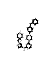 FC1(Cn2cc(Nc3ncnc(N4CCN(c5ncc(Cc6ccccc6)cn5)CC4)n3)cn2)CCNCC1